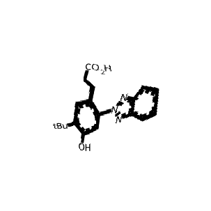 CC(C)(C)c1cc(CCC(=O)O)c(-n2nc3ccccc3n2)cc1O